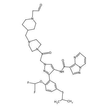 CC(C)Sc1ccc(OC(F)F)c(-c2nn(CC(=O)N3CCN(CC4CCN(CC=O)CC4)CC3)cc2NC(=O)c2cnn3cccnc23)c1